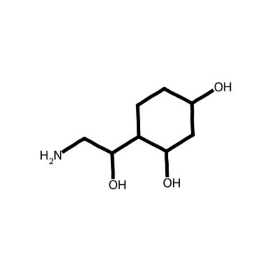 NCC(O)C1CCC(O)CC1O